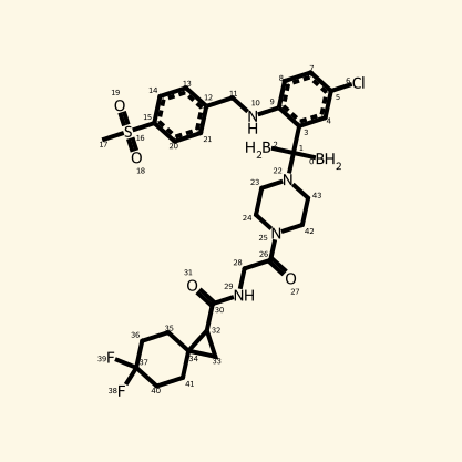 BC(B)(c1cc(Cl)ccc1NCc1ccc(S(C)(=O)=O)cc1)N1CCN(C(=O)CNC(=O)C2CC23CCC(F)(F)CC3)CC1